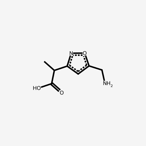 CC(C(=O)O)c1cc(CN)on1